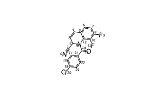 N#CC1C=Cc2ccc(F)c(F)c2N1C(=O)c1ccc(Cl)cc1